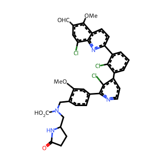 COc1cc(-c2nccc(-c3cccc(-c4ccc5c(OC)c(C=O)cc(Cl)c5n4)c3Cl)c2Cl)ccc1CN(CC1CCC(=O)N1)C(=O)O